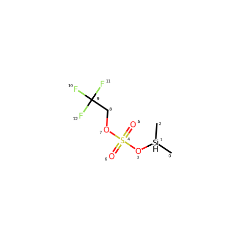 C[SiH](C)OS(=O)(=O)OCC(F)(F)F